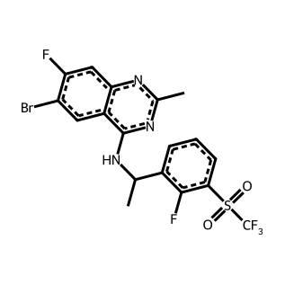 Cc1nc(NC(C)c2cccc(S(=O)(=O)C(F)(F)F)c2F)c2cc(Br)c(F)cc2n1